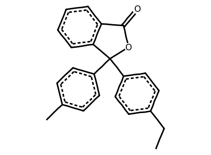 CCc1ccc(C2(c3ccc(C)cc3)OC(=O)c3ccccc32)cc1